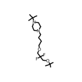 CC(C)(C)OCC(F)(F)COCCCCN1CCN(C(C)(C)C)CC1